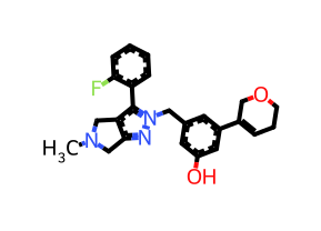 CN1Cc2nn(Cc3cc(O)cc(C4=CCCOC4)c3)c(-c3ccccc3F)c2C1